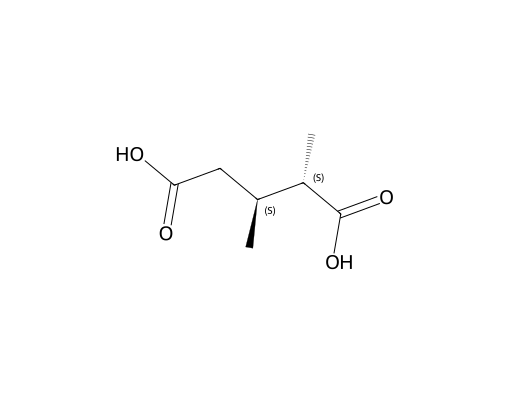 C[C@H](C(=O)O)[C@@H](C)CC(=O)O